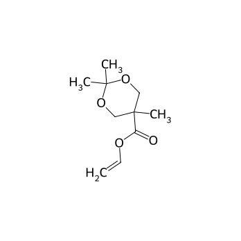 C=COC(=O)C1(C)COC(C)(C)OC1